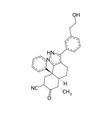 C[C@@H]1C(=O)C(C#N)C[C@]2(c3ccccc3)c3n[nH]c(-c4cccc(CCO)c4)c3CC[C@@H]12